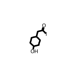 O=C(I)CC1CCC(O)CC1